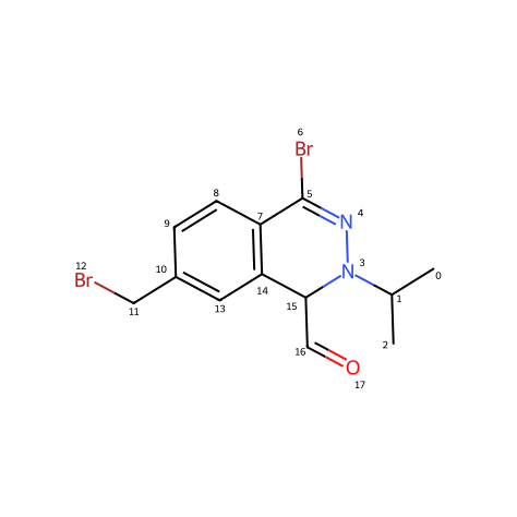 CC(C)N1N=C(Br)c2ccc(CBr)cc2C1C=O